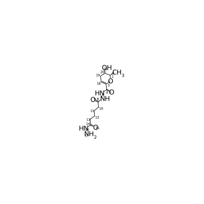 C[C@H]1OC(C(=O)NNC(=O)CCCCC(=O)NN)=CCC1O